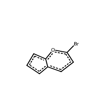 Brc1ccc2cccc-2o1